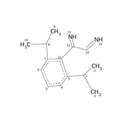 CC(C)c1cccc(C(C)C)c1C(=N)C=N